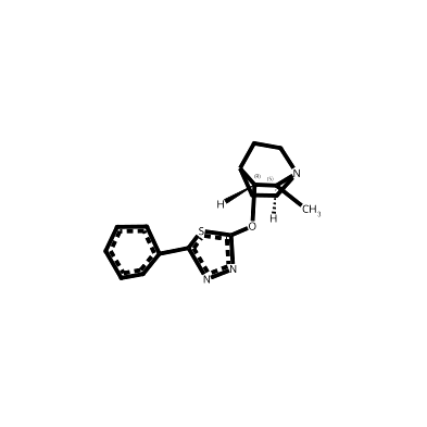 C[C@H]1[C@H](Oc2nnc(-c3ccccc3)s2)C2CCN1CC2